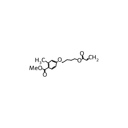 C=CC(=O)OCCCCOc1ccc(C(=O)OC)c(C)c1